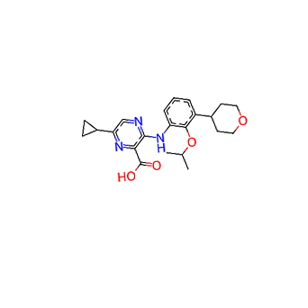 CC(C)Oc1c(Nc2ncc(C3CC3)nc2C(=O)O)cccc1C1CCOCC1